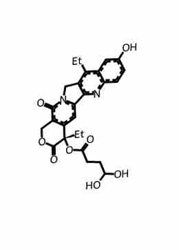 CCc1c2c(nc3ccc(O)cc13)-c1cc3c(c(=O)n1C2)COC(=O)[C@@]3(CC)OC(=O)CCC(O)O